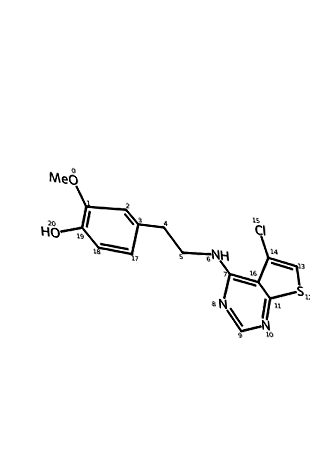 COc1cc(CCNc2ncnc3scc(Cl)c23)ccc1O